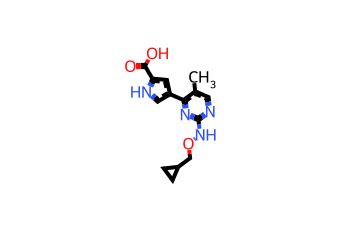 Cc1cnc(NOCC2CC2)nc1-c1c[nH]c(C(=O)O)c1